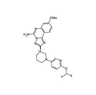 COc1ccc2c(c1)nc(N)n1nc([C@@H]3CCCN(c4ccc(OC(F)F)nc4)C3)nc21